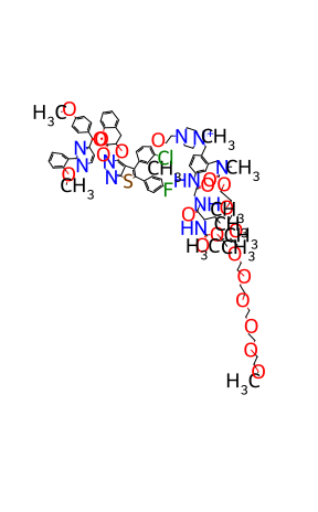 COCCOCCOCCOCCOCCOCCOCCOCCOC(=O)N(C)Cc1cc(NC(=O)CNC(=O)C(NC(=O)OC(C)(C)C)C(C)C)ccc1C[N+]1(C)CCN(CCOc2ccc(-c3c(-c4ccc(F)cc4)sc4ncnc(OC(Cc5ccccc5OCc5ccnc(-c6ccccc6OC)n5)C(=O)OCc5ccc(OC)cc5)c34)c(C)c2Cl)CC1